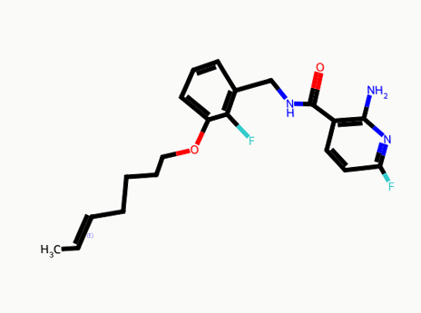 C/C=C/CCCCOc1cccc(CNC(=O)c2ccc(F)nc2N)c1F